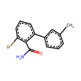 Cc1cccc(-c2cccc(Br)c2C(N)=O)c1